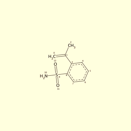 C=C(C)c1ccccc1S(N)(=O)=O